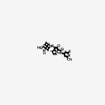 N#Cc1cc(NC(=O)c2c(Cl)c(SN3C4CCC45C3CC5(O)CO)c3n2CCC3)cc(F)n1